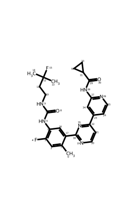 Cc1cc(F)c(NC(=O)NCCC(C)(C)F)cc1-c1nccc(-c2ccnc(NC(=O)C3CC3)c2)n1